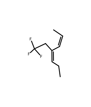 C/C=C\C(=C/CC)CC(F)(F)F